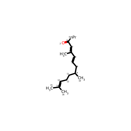 CCCC(=O)/C=C(C)/C=C/CC(C)CCC=C(C)C